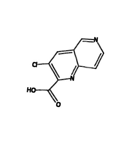 O=C(O)c1nc2ccncc2cc1Cl